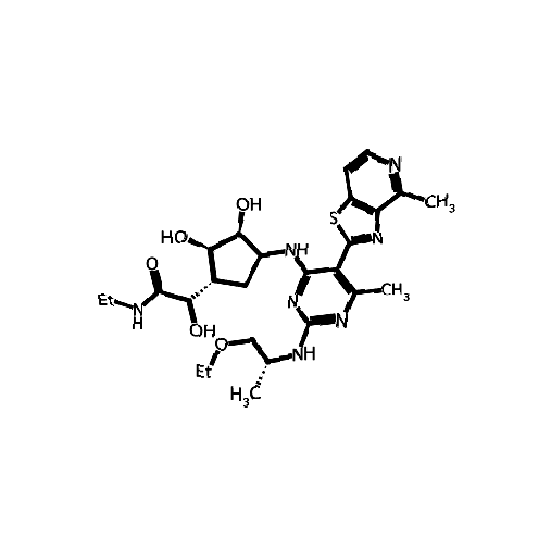 CCNC(=O)C(O)[C@H]1CC(Nc2nc(N[C@H](C)COCC)nc(C)c2-c2nc3c(C)nccc3s2)[C@H](O)[C@@H]1O